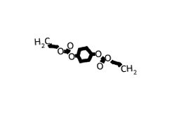 C=CCOC(=O)OC1CCC(OC(=O)OCC=C)CC1